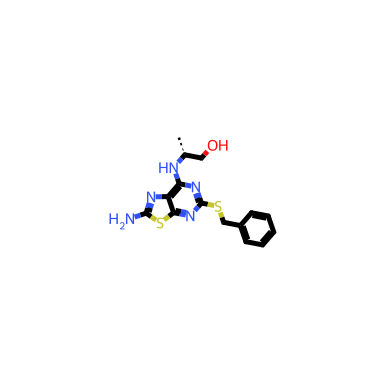 C[C@H](CO)Nc1nc(SCc2ccccc2)nc2sc(N)nc12